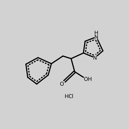 Cl.O=C(O)C(Cc1ccccc1)c1c[nH]cn1